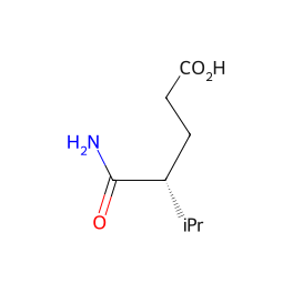 CC(C)[C@@H](CCC(=O)O)C(N)=O